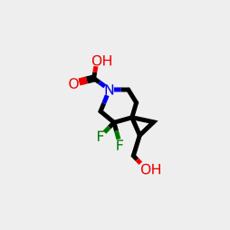 O=C(O)N1CCC2(CC2CO)C(F)(F)C1